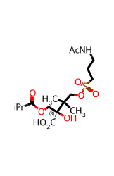 CC(=O)NCCCS(=O)(=O)OCC(C)(C)[C@@](O)(COC(=O)C(C)C)C(=O)O